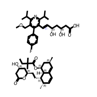 CCC(C)(C)C(=O)O[C@H]1C[C@@H](C)C=C2C=C[C@H](C)[C@H](CC[C@@H]3C[C@@H](O)CC(=O)O3)[C@H]21.COCc1c(C(C)C)nc(C(C)C)c(/C=C/[C@@H](O)C[C@@H](O)CC(=O)O)c1-c1ccc(F)cc1